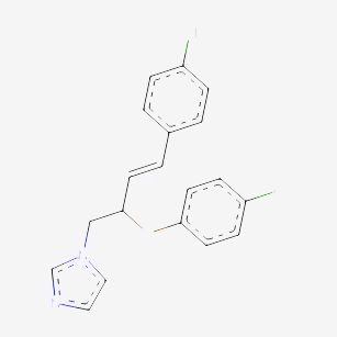 Clc1ccc(/C=C/C(Cn2ccnc2)Sc2ccc(Cl)cc2)cc1